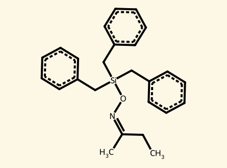 CCC(C)=NO[Si](Cc1ccccc1)(Cc1ccccc1)Cc1ccccc1